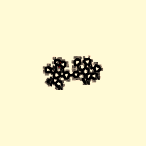 c1ccc(-n2c3ccccc3c3c2c2c4ccncc4c4nccn4c2c2c4ccc(-c5ccc6c7c8c9ccncc9c9nccn9c8c8c9ccccc9n(-c9ccccc9)c8c7n(-c7ccccc7)c6c5)cc4n(-c4ccccc4)c32)cc1